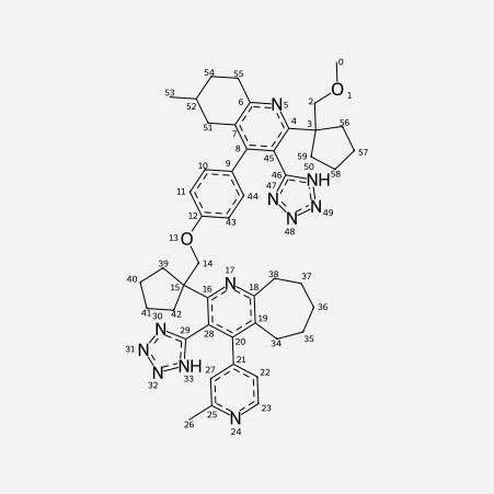 COCC1(c2nc3c(c(-c4ccc(OCC5(c6nc7c(c(-c8ccnc(C)c8)c6-c6nnn[nH]6)CCCCC7)CCCC5)cc4)c2-c2nnn[nH]2)CC(C)CC3)CCCC1